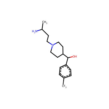 CC(N)CCN1CCC(C(O)c2ccc(C(F)(F)F)cc2)CC1